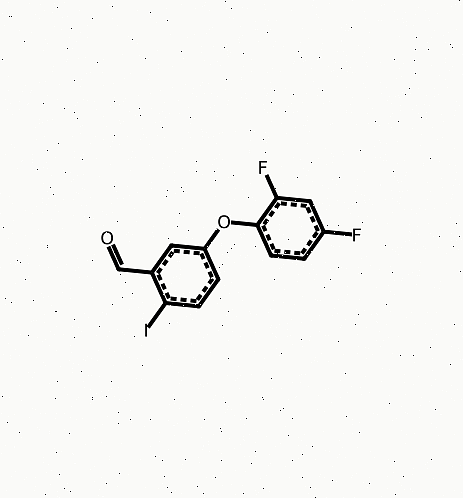 O=Cc1cc(Oc2ccc(F)cc2F)ccc1I